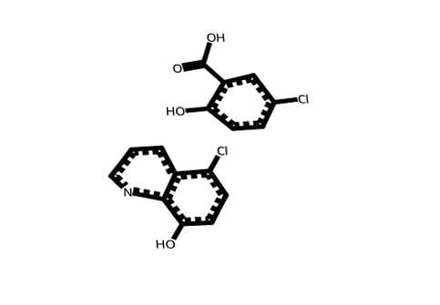 O=C(O)c1cc(Cl)ccc1O.Oc1ccc(Cl)c2cccnc12